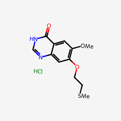 COc1cc2c(=O)[nH]cnc2cc1OCCSC.Cl